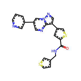 O=C(NCc1ccsc1)c1cc(-c2cnn3cc(-c4cccnc4)cnc23)cs1